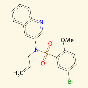 C=CCN(c1cnc2ccccc2c1)S(=O)(=O)c1cc(Br)ccc1OC